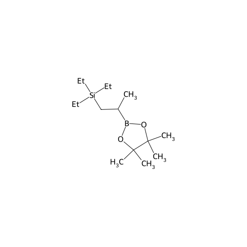 CC[Si](CC)(CC)CC(C)B1OC(C)(C)C(C)(C)O1